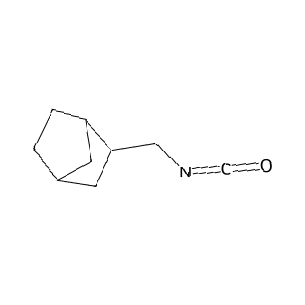 O=C=NCC1CC2CCC1C2